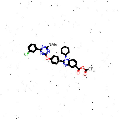 CNc1nc(Oc2ccc(-c3nc4cc(C(=O)OC(=O)C(F)(F)F)ccc4n3C3CCCCC3)cc2)nc(-c2cccc(Cl)c2)n1